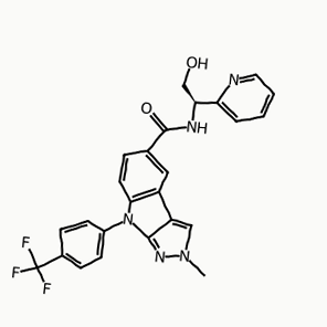 Cn1cc2c3cc(C(=O)N[C@@H](CO)c4ccccn4)ccc3n(-c3ccc(C(F)(F)F)cc3)c2n1